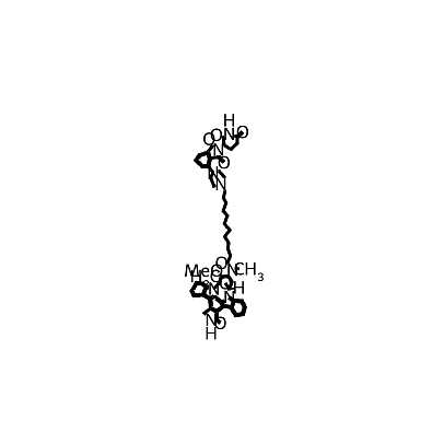 CO[C@@H]1[C@H](N(C)C(=O)CCCCCCCCCCCN2CCN(c3cccc4c3C(=O)N(C3CCC(=O)NC3=O)C4=O)CC2)C[C@H]2O[C@]1(C)n1c3ccccc3c3c4c(c5c6ccccc6n2c5c31)C(=O)NC4